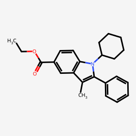 CCOC(=O)c1ccc2c(c1)c(C)c(-c1ccccc1)n2C1CCCCC1